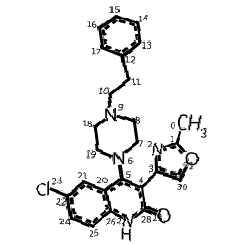 Cc1nc(-c2c(N3CCN(CCc4ccccc4)CC3)c3cc(Cl)ccc3[nH]c2=O)co1